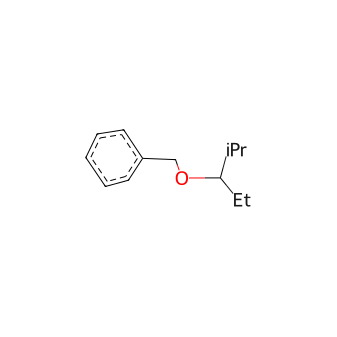 CCC(OCc1ccccc1)C(C)C